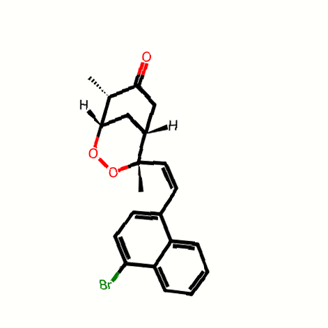 C[C@@H]1C(=O)C[C@H]2C[C@@H]1OO[C@@]2(C)/C=C\c1ccc(Br)c2ccccc12